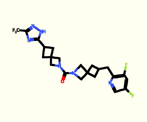 O=C(N1CC2(CC(Cc3ncc(F)cc3F)C2)C1)N1CC2(CC(c3nc(C(F)(F)F)n[nH]3)C2)C1